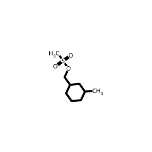 CC1CCCC(COS(C)(=O)=O)C1